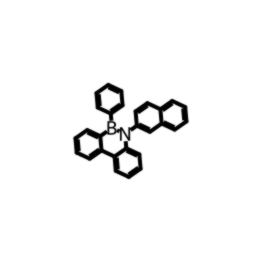 c1ccc(B2c3ccccc3-c3ccccc3N2c2ccc3ccccc3c2)cc1